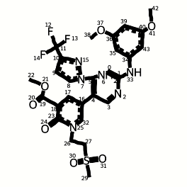 C=C(/N=C\C(=C(/N)n1ccc(C(F)(F)F)n1)c1cc(C(=O)OC)c(=O)n(CCS(C)(=O)=O)c1)Nc1cc(OC)cc(OC)c1